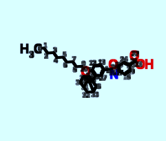 CCCCCCCCCCOc1ccc(-c2nc3ccc(C(=O)O)cc3o2)cc1C12CC3CC(CC(C3)C1)C2